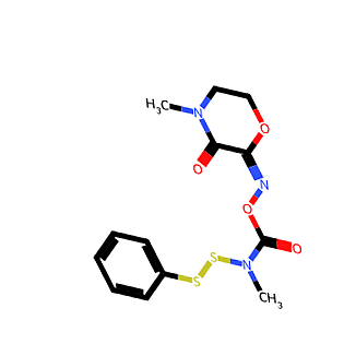 CN1CCOC(=NOC(=O)N(C)SSc2ccccc2)C1=O